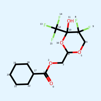 O=C(OCC1OCC(F)(F)C(O)(C(F)(F)F)O1)C1CCCCC1